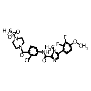 COc1ccc(-c2cnc(C(=O)Nc3ccc(C(=O)N4CCN(S(C)(=O)=O)CC4)c(Cl)c3)n2C)c(F)c1F